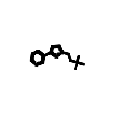 CC(C)(C)CCn1ccc(-c2cccnc2)n1